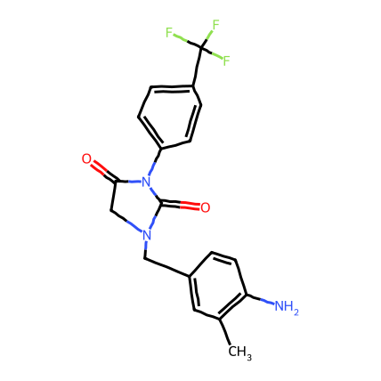 Cc1cc(CN2CC(=O)N(c3ccc(C(F)(F)F)cc3)C2=O)ccc1N